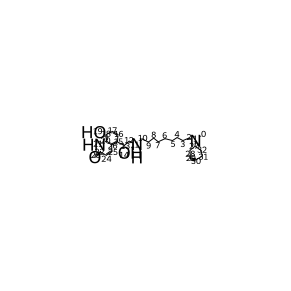 CN(CCCCCCCCCNC[C@H](O)c1ccc(O)c2[nH]c(=O)ccc12)C1CC#CCC1